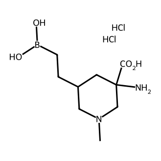 CN1CC(CCB(O)O)CC(N)(C(=O)O)C1.Cl.Cl